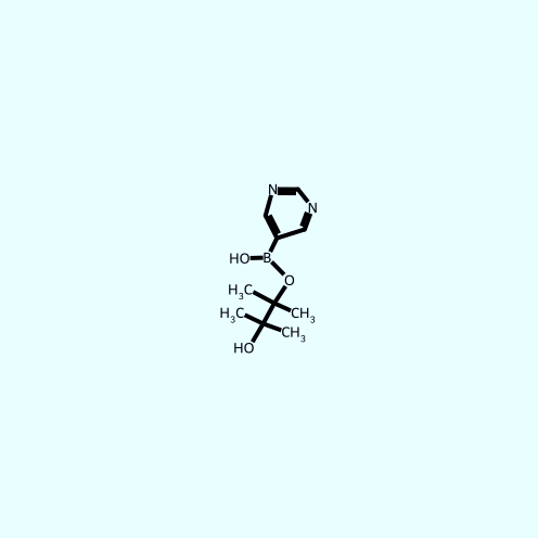 CC(C)(O)C(C)(C)OB(O)c1cncnc1